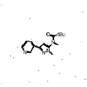 CN(C(=O)C(C)(C)C)c1cc(-c2cccnc2)nn1C